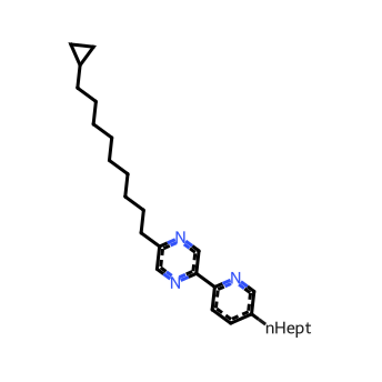 CCCCCCCc1ccc(-c2cnc(CCCCCCCCCC3CC3)cn2)nc1